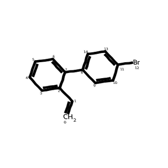 C=Cc1ccccc1-c1ccc(Br)cc1